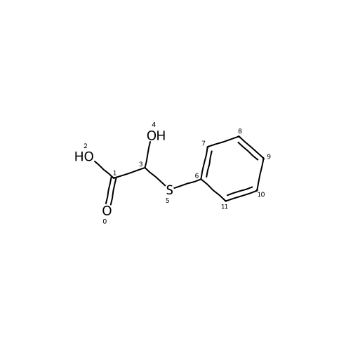 O=C(O)C(O)Sc1ccccc1